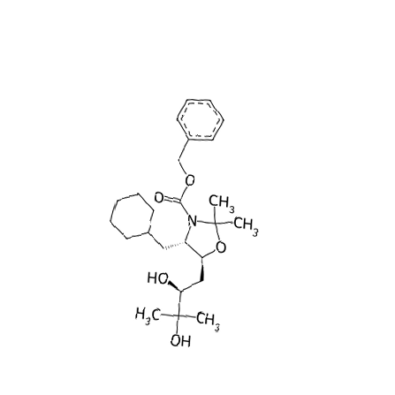 CC(C)(O)[C@@H](O)C[C@@H]1OC(C)(C)N(C(=O)OCc2ccccc2)[C@H]1CC1CCCCC1